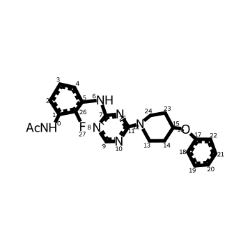 CC(=O)Nc1cccc(Nc2ncnc(N3CCC(Oc4ccccc4)CC3)n2)c1F